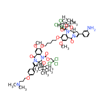 COc1cc2c(cc1OCCCCCOc1cc3c(cc1OC)C(=O)N1C=C(c4cccc(N)c4)C[C@H]1C(O[Si](C)(C)C(C)(C)C)N3C(=O)OCC(Cl)(Cl)Cl)N(C(=O)OCC(Cl)(Cl)Cl)C(O[Si](C)(C)C(C)(C)C)[C@@H]1CC(c3ccc(OCCCN(C)C)cc3)=CN1C2=O